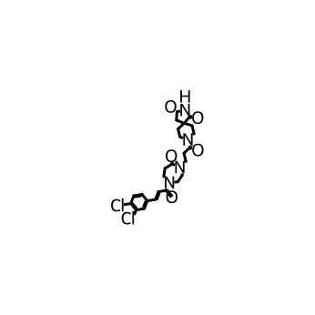 O=C1CC2(CCN(C(=O)CCN3CCN(C(=O)/C=C/c4ccc(Cl)c(Cl)c4)CCC3=O)CC2)C(=O)N1